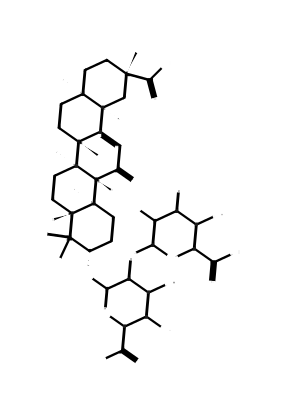 CC1(C)[C@@H](OC2OC(C(=O)O)C(O)C(O)C2OC2OC(C(=O)O)C(O)C(O)C2O)CC[C@]2(C)[C@H]3C(=O)C=C4[C@@H]5C[C@@](C)(C(=O)O)CC[C@]5(C)CC[C@@]4(C)[C@]3(C)CC[C@@H]12